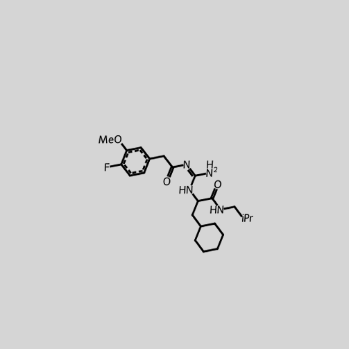 COc1cc(CC(=O)N=C(N)NC(CC2CCCCC2)C(=O)NCC(C)C)ccc1F